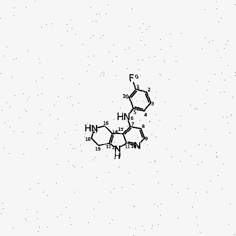 Fc1cccc(Nc2ccnc3[nH]c4c(c23)CNCC4)c1